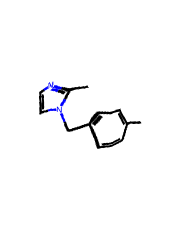 Cc1ccc(Cn2ccnc2C)cc1